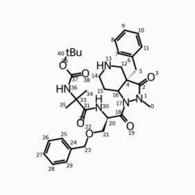 CN1C(=O)[C@]2(Cc3ccccc3)CNCCC2N1C(=O)[C@@H](COCc1ccccc1)NC(=O)C(C)(C)NC(=O)OC(C)(C)C